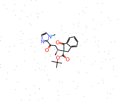 C[C@@H](CC(=O)c1nccn1C)[C@@]1(C(=O)OC(C)(C)C)Cc2ccccc2C1=O